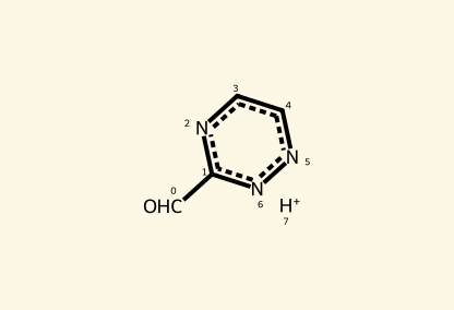 O=Cc1nccnn1.[H+]